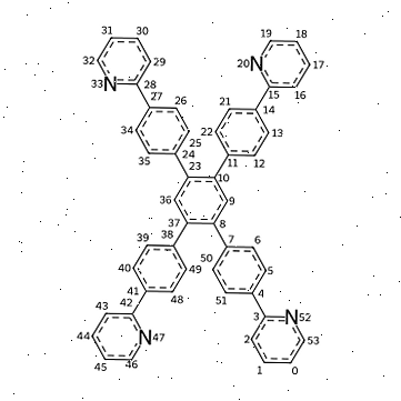 c1ccc(-c2ccc(-c3cc(-c4ccc(-c5ccccn5)cc4)c(-c4ccc(-c5ccccn5)cc4)cc3-c3ccc(-c4ccccn4)cc3)cc2)nc1